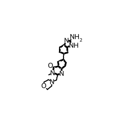 Cn1c(CN2CCOCC2)nc2ccc(-c3ccc4nc(N)[nH]c4c3)cc2c1=O